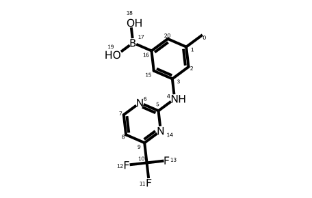 Cc1cc(Nc2nccc(C(F)(F)F)n2)cc(B(O)O)c1